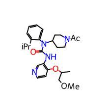 COCC(C)Oc1ccncc1NC(=O)N(c1ccccc1C(C)C)C1CCN(C(C)=O)CC1